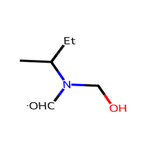 CCC(C)N([C]=O)CO